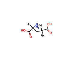 [2H]C([2H])(CC([2H])(N)C(=O)O)C(=O)O